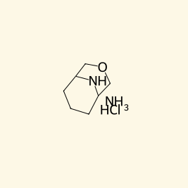 C1CC2COCC(C1)N2.Cl.N